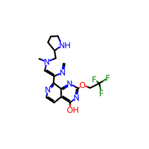 C=N/C(=C\N(C)CC1CCCN1)c1nccc2c(O)nc(OCC(F)(F)F)nc12